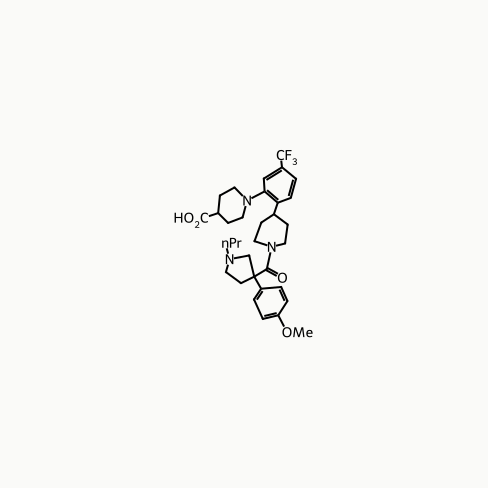 CCCN1CCC(C(=O)N2CCC(c3ccc(C(F)(F)F)cc3N3CCC(C(=O)O)CC3)CC2)(c2ccc(OC)cc2)C1